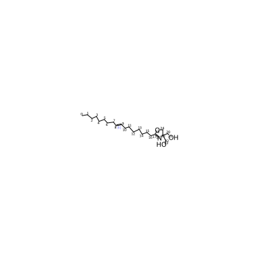 CCCCCCCC/C=C/CCCCCCCC1=NC(CO)(CO)CO1